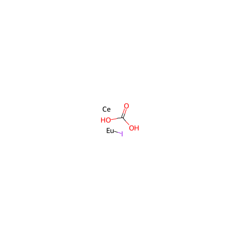 O=C(O)O.[Ce].[I][Eu]